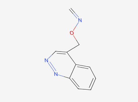 C=NOCc1cnnc2ccccc12